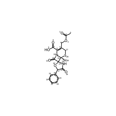 CC(=O)OCC1=C(C(=O)O)N2C(=O)C3(NC(=O)C(c4ccccc4)O3)[C@H]2SC1